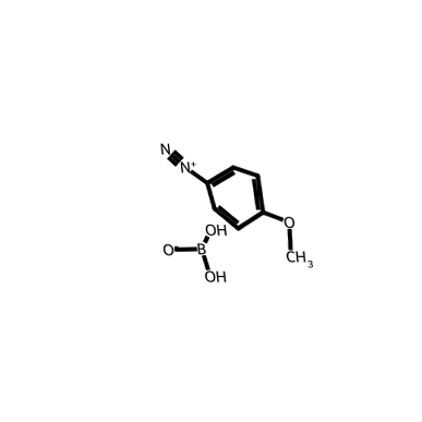 COc1ccc([N+]#N)cc1.[O-]B(O)O